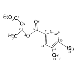 CCOC(=O)OC(C)OC(=O)c1ccc(C(C)(C)C)c(C)c1